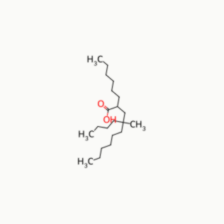 CCCCCCC(CC(C)(CCCC)CCCCCC)C(=O)O